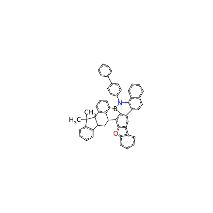 CC1(C)c2ccccc2C2CC3c4c(cccc4C21)B1c2c(cc4c(oc5ccccc54)c23)-c2ccc3ccccc3c2N1c1ccc(-c2ccccc2)cc1